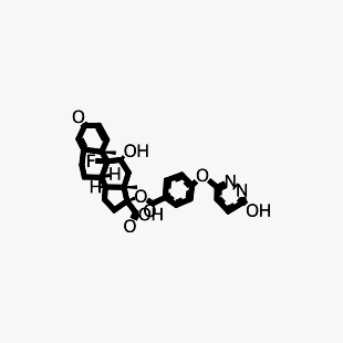 C[C@]12C=CC(=O)C=C1CC[C@H]1[C@@H]3CC[C@@](OC(=O)c4ccc(Oc5ccc(O)nn5)cc4)(C(=O)O)[C@@]3(C)C[C@H](O)C12F